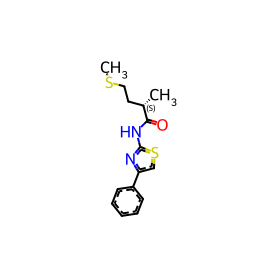 CSCC[C@H](C)C(=O)Nc1nc(-c2ccccc2)cs1